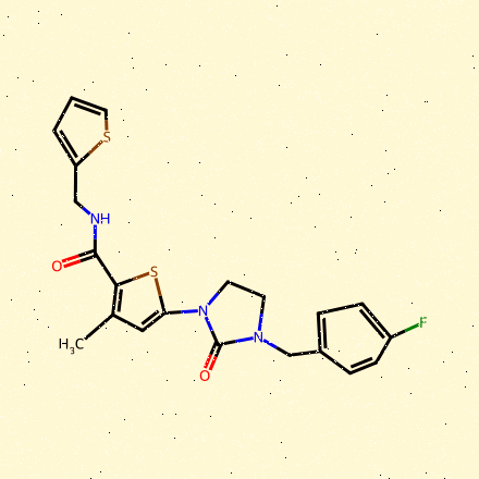 Cc1cc(N2CCN(Cc3ccc(F)cc3)C2=O)sc1C(=O)NCc1cccs1